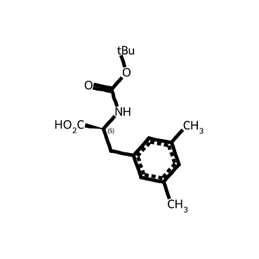 Cc1cc(C)cc(C[C@H](NC(=O)OC(C)(C)C)C(=O)O)c1